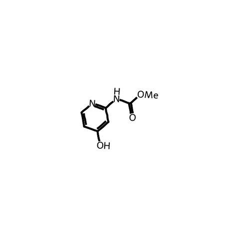 COC(=O)Nc1cc(O)ccn1